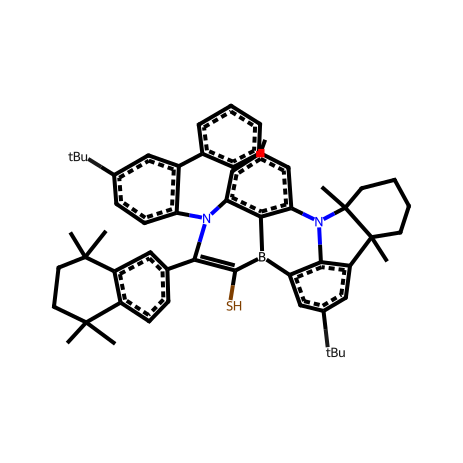 Cc1cc2c3c(c1)N1c4c(cc(C(C)(C)C)cc4C4(C)CCCCC14C)B3C(S)=C(c1ccc3c(c1)C(C)(C)CCC3(C)C)N2c1ccc(C(C)(C)C)cc1-c1ccccc1